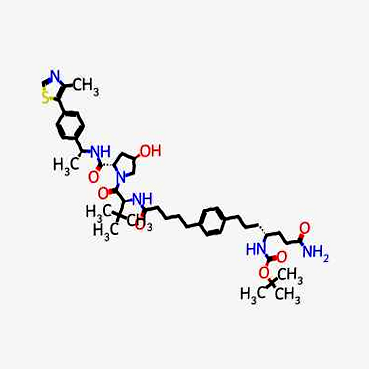 Cc1ncsc1-c1ccc([C@H](C)NC(=O)[C@@H]2C[C@@H](O)CN2C(=O)[C@@H](NC(=O)CCCCc2ccc(CCC[C@H](CCC(N)=O)NC(=O)OC(C)(C)C)cc2)C(C)(C)C)cc1